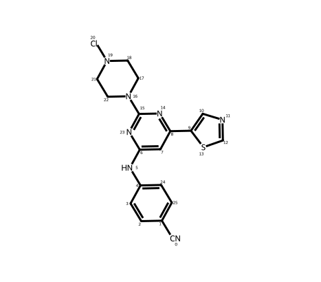 N#Cc1ccc(Nc2cc(-c3cncs3)nc(N3CCN(Cl)CC3)n2)cc1